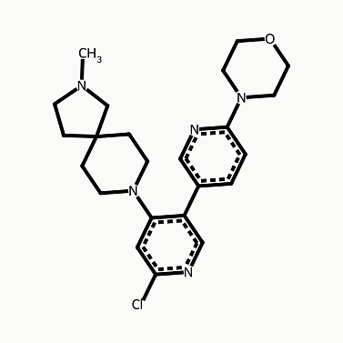 CN1CCC2(CCN(c3cc(Cl)ncc3-c3ccc(N4CCOCC4)nc3)CC2)C1